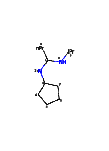 CCCC([N]C1CCCC1)NC(C)C